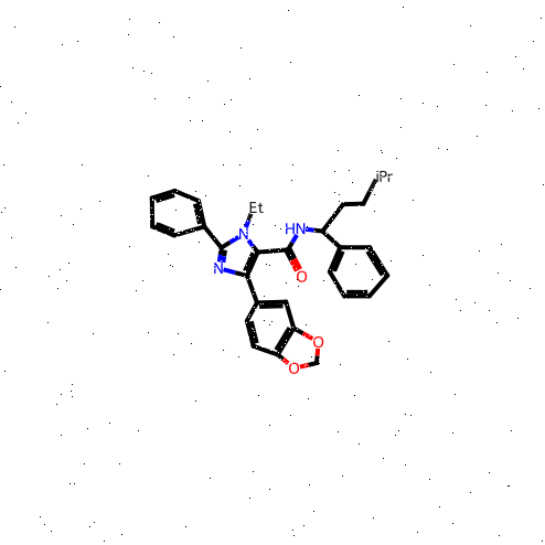 CCn1c(-c2ccccc2)nc(-c2ccc3c(c2)OCO3)c1C(=O)NC(CCC(C)C)c1ccccc1